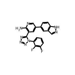 Nc1ncc(-c2ccc3[nH]ncc3c2)cc1-c1nnnn1-c1cccc(F)c1F